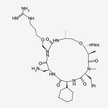 CCCCCC[C@H]1OC[C@@H](C)NC(=O)[C@H](COCCCNC(=N)N)NC(=O)[C@H](CN)NC(=O)[C@H](C2CCCCC2)NC(=O)[C@H](CC(C)C)N(C)C(=O)[C@@H]1C